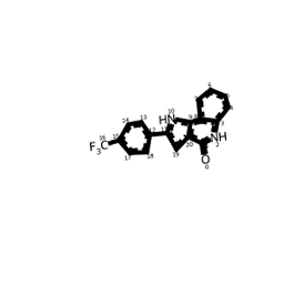 O=c1[nH]c2ccccc2c2[nH]c(-c3ccc(C(F)(F)F)cc3)cc12